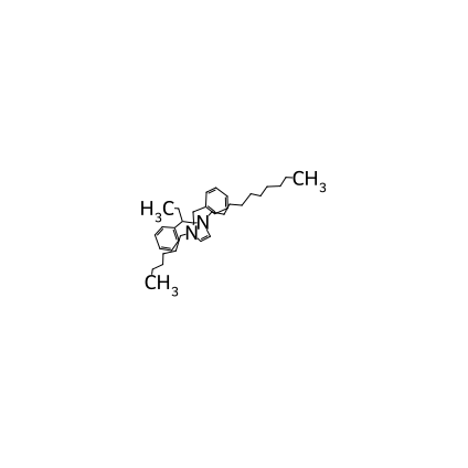 CCCCCCCCCCN1C=CN(CCCCCC)C1(Cc1ccccc1)C(CC)c1ccccc1